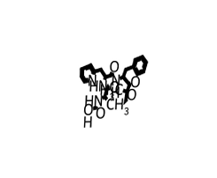 CC(NC(=O)O)C(=O)NC(Cc1ccccn1)C(=O)NC(Cc1ccccc1)C(=O)C1(C)CO1